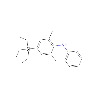 CC[Si](CC)(CC)c1cc(C)c(Nc2ccccc2)c(C)c1